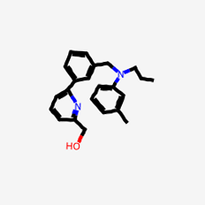 CCCN(Cc1cccc(-c2cccc(CO)n2)c1)c1cccc(C)c1